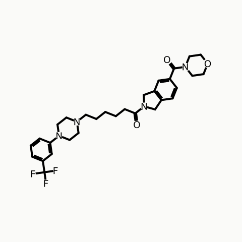 O=C(CCCCCN1CCN(c2cccc(C(F)(F)F)c2)CC1)N1Cc2ccc(C(=O)N3CCOCC3)cc2C1